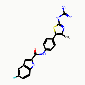 Cc1nc(NC(=N)N)sc1-c1ccc(NC(=O)c2cc3cc(F)ccc3[nH]2)cc1